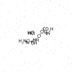 CC(C)Oc1cc(-c2ccc(CCNC[C@@H](O)c3ccc(N)nc3)cc2)ccc1C(=O)O.Cl.Cl